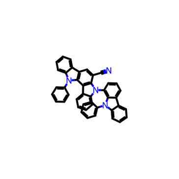 N#Cc1cc2c3ccccc3n(-c3ccccc3)c2c2c3ccccc3n(-c3cccc4c5ccccc5n(-c5ccccc5)c34)c12